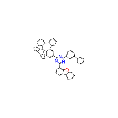 c1ccc(-c2cccc(-c3nc(-c4ccc5c(c4)-c4ccccc4-c4ccccc4C54c5ccccc5-c5ccccc54)nc(-c4cccc5c4oc4ccccc45)n3)c2)cc1